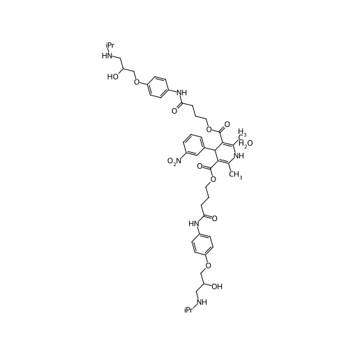 CC1=C(C(=O)OCCCC(=O)Nc2ccc(OCC(O)CNC(C)C)cc2)C(c2cccc([N+](=O)[O-])c2)C(C(=O)OCCCC(=O)Nc2ccc(OCC(O)CNC(C)C)cc2)=C(C)N1.O